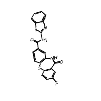 O=C(Nc1nc2ccccc2s1)c1ccc2c(c1)NC(=O)c1cc(F)ccc1S2